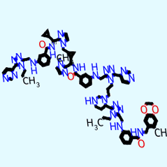 CCCn1c(CNc2cccc(C(=O)N[C@H](c3nccn3CC3CC3[C@@H](NC(=O)c3cccc(NCc4nnc(-c5ccncn5)n4CCCN4CNCCC4c4nnc(CNc5cccc(C(=O)NCc6cc7c(cc6C)OCCO7)c5)n4CCC)c3)c3nccn3C)C3CC3)c2)nnc1-c1ccncn1